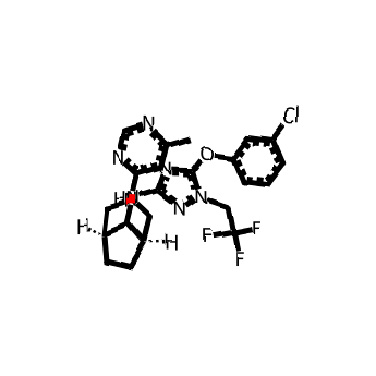 Cc1cc(N2C[C@H]3CC[C@@H](C2)C3Nc2nc(Oc3cccc(Cl)c3)n(CC(F)(F)F)n2)ncn1